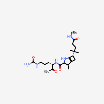 CCCCNC(=O)CCC(C)(C)[C@@H]1CC2=C1NC(C(=O)N[C@@H](CCCNC(N)=O)C(=O)C(C)(C)C)C2C